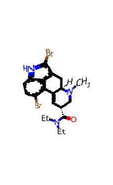 CCN(CC)C(=O)[C@@H]1C=C2c3c(Br)ccc4[nH]c(Br)c(c34)C[C@H]2N(C)C1